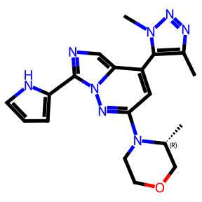 Cc1nnn(C)c1-c1cc(N2CCOC[C@H]2C)nn2c(-c3ccc[nH]3)ncc12